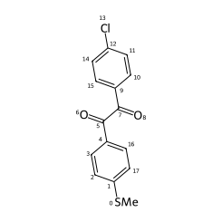 CSc1ccc(C(=O)C(=O)c2ccc(Cl)cc2)cc1